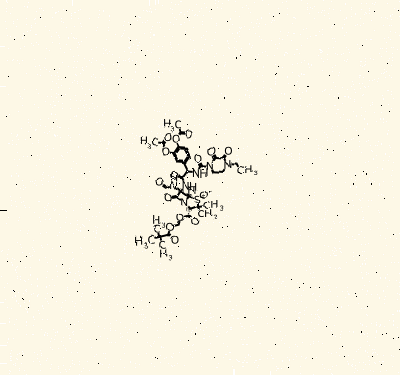 CCN1CCN(C(=O)NC(C(=O)N[C@]2(NC=O)C(=O)N3[C@@H](C(=O)OCOC(=O)C(C)(C)C)C(C)(C)[S+]([O-])[C@@H]32)c2ccc(OC(C)=O)c(OC(C)=O)c2)C(=O)C1=O